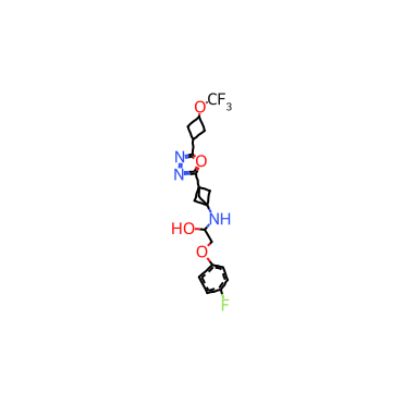 OC(COc1ccc(F)cc1)NC12CC(c3nnc(C4CC(OC(F)(F)F)C4)o3)(C1)C2